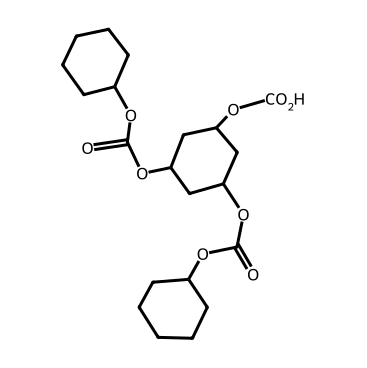 O=C(O)OC1CC(OC(=O)OC2CCCCC2)CC(OC(=O)OC2CCCCC2)C1